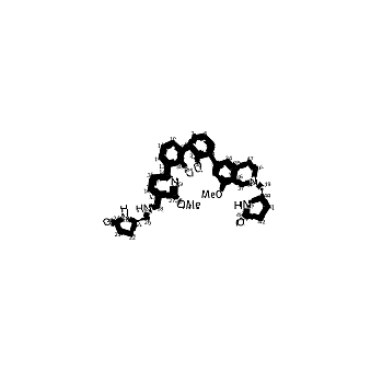 COc1cc(-c2cccc(-c3cccc(-c4ccc(CNC[C@H]5CCC(=O)N5)c(OC)n4)c3Cl)c2Cl)cc2c1CN(C[C@@H]1CCC(=O)N1)CC2